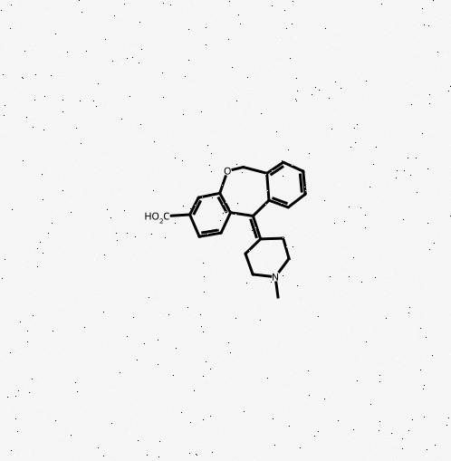 CN1CCC(=C2c3ccccc3COc3cc(C(=O)O)ccc32)CC1